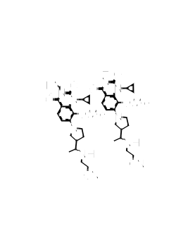 COc1c(N2CCC(C(C)NCCC#N)C2)ccc2c(=O)[nH]c(=O)n(C3CC3)c12.COc1c(N2CCC(C(C)NCCC#N)C2)ccc2c(=O)n(N)c(=O)n(C3CC3)c12